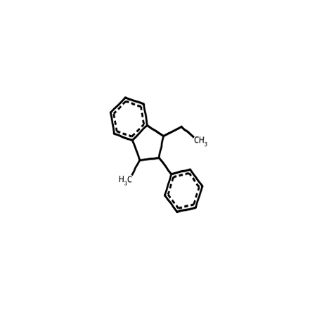 CCC1c2ccccc2C(C)C1c1ccccc1